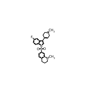 CN1CC=C(c2cn(S(=O)(=O)c3ccc4c(c3)N(C)CCC4)c3ccc(F)cc23)CC1